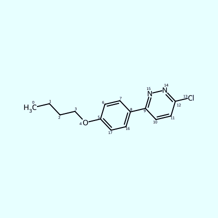 CCCCOc1ccc(-c2ccc(Cl)nn2)cc1